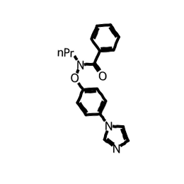 CCCN(Oc1ccc(-n2ccnc2)cc1)C(=O)c1ccccc1